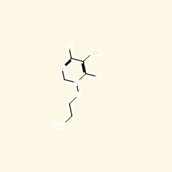 CCCSN1CN=C(Cl)C(N)=C1Cl